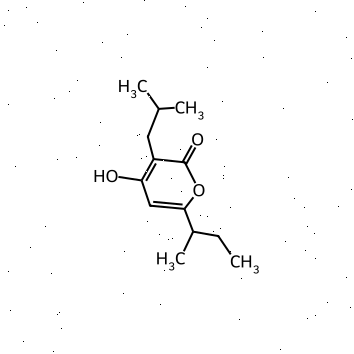 CCC(C)c1cc(O)c(CC(C)C)c(=O)o1